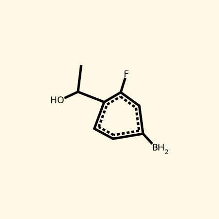 Bc1ccc(C(C)O)c(F)c1